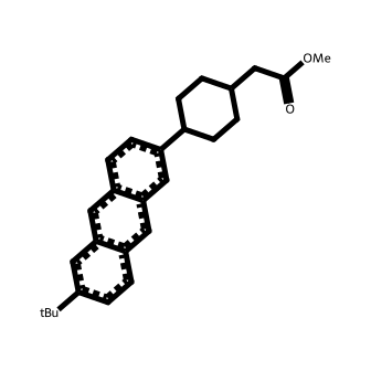 COC(=O)CC1CCC(c2ccc3cc4cc(C(C)(C)C)ccc4cc3c2)CC1